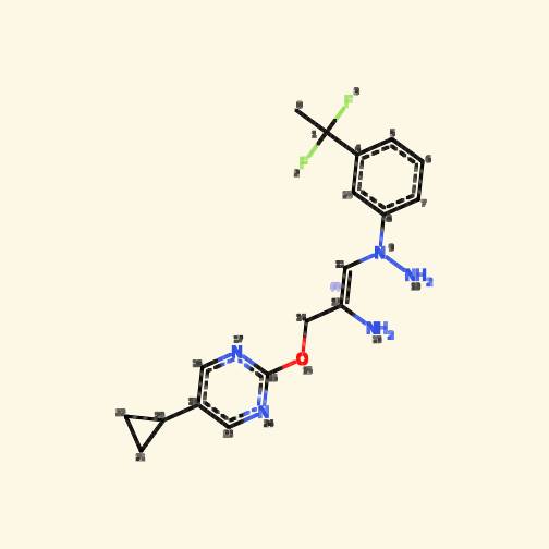 CC(F)(F)c1cccc(N(N)/C=C(\N)COc2ncc(C3CC3)cn2)c1